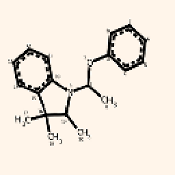 CC(Oc1ccccc1)N1c2ccccc2C(C)(C)C1C